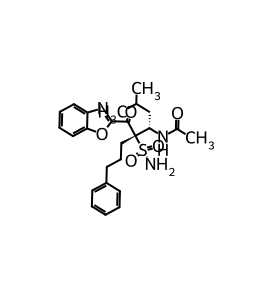 CC(=O)N[C@@H](CC(C)C)[C@@](CCCc1ccccc1)(C(=O)c1nc2ccccc2o1)S(N)(=O)=O